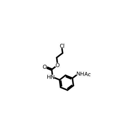 CC(=O)Nc1cccc(NC(=O)OCCCl)c1